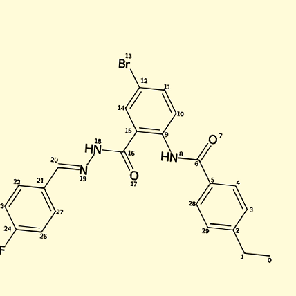 CCc1ccc(C(=O)Nc2ccc(Br)cc2C(=O)NN=Cc2ccc(F)cc2)cc1